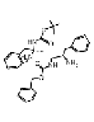 CC(C)(C)OC(=O)N[C@@](C)(N)Cc1ccccc1.N[C@@H](CNC(=O)OCc1ccccc1)Cc1ccccc1